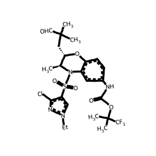 CCn1cc(S(=O)(=O)N2c3cc(NC(=O)OC(C)(C)C(F)(F)F)ccc3O[C@@H](CC(C)(C)C=O)[C@@H]2C)c(Cl)n1